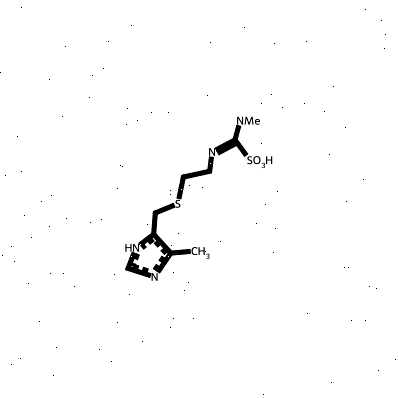 CNC(=NCCSCc1[nH]cnc1C)S(=O)(=O)O